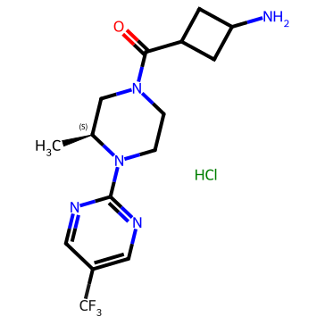 C[C@H]1CN(C(=O)C2CC(N)C2)CCN1c1ncc(C(F)(F)F)cn1.Cl